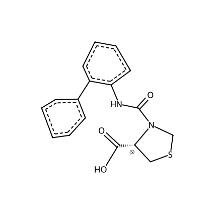 O=C(O)[C@H]1CSCN1C(=O)Nc1ccccc1-c1ccccc1